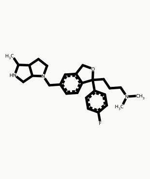 CC1NCC2C1CCN2Cc1ccc2c(c1)COC2(CCCN(C)C)c1ccc(F)cc1